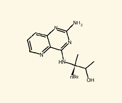 CCCC[C@](C)(Nc1nc(N)nc2cccnc12)C(C)O